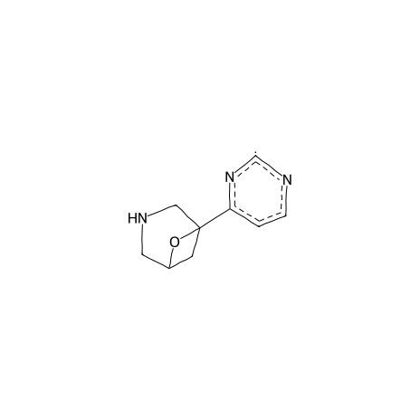 [c]1nccc(C23CNCC(C2)O3)n1